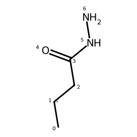 C[CH]CC(=O)NN